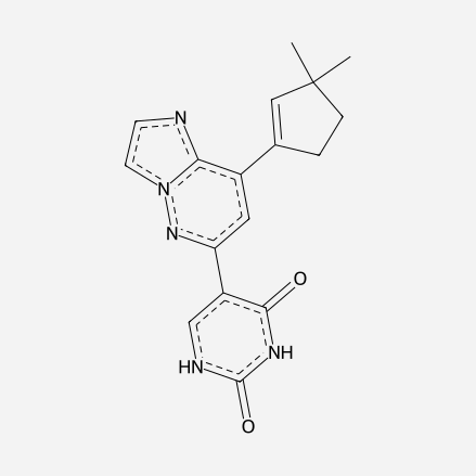 CC1(C)C=C(c2cc(-c3c[nH]c(=O)[nH]c3=O)nn3ccnc23)CC1